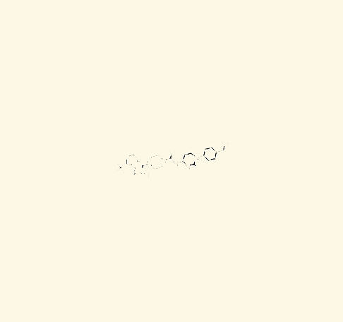 Cc1cc(-n2ccc(NC(=O)N3CCN(C(=O)[C@]4(C)CO[C@H](C(C)(C)C)N4C(=O)O)CC3)nc2=O)ccc1C=O